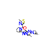 Cc1nc(C(=O)N2CCCC[C@H]2c2cc3nc(N4CC[C@H](C)C4)c(C)cn3n2)cs1